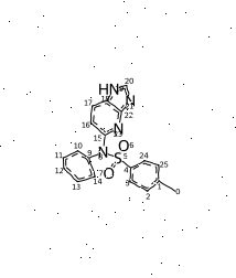 Cc1ccc(S(=O)(=O)N(c2ccccc2)c2ccc3[nH]cnc3n2)cc1